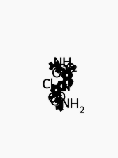 COc1cc2c(cc1OC(=O)C(N)C(C)C)C1Cc3c(Cl)cc(OC)c(OC(=O)C(N)C(C)C)c3CN1CC2